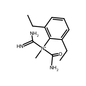 CCc1cccc(CC)c1[N+](C)(C(=N)N)C(N)=O